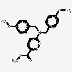 COC(=O)c1ccc(N(Cc2ccc(OC)cc2)Cc2ccc(OC)cc2)nn1